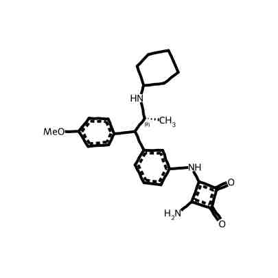 COc1ccc(C(c2cccc(Nc3c(N)c(=O)c3=O)c2)[C@@H](C)NC2CCCCC2)cc1